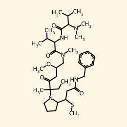 CCC(C)(C(=O)CC(CN(C)C(=O)C(NC(=O)C(C(C)C)N(C)C)C(C)C)OC)N1CCCC1C(CC(=O)NCc1ccccc1)SC